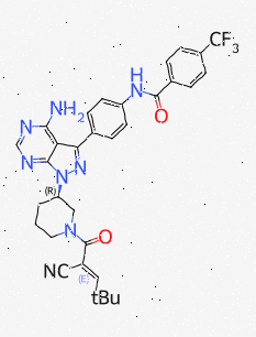 CC(C)(C)/C=C(\C#N)C(=O)N1CCC[C@@H](n2nc(-c3ccc(NC(=O)c4ccc(C(F)(F)F)cc4)cc3)c3c(N)ncnc32)C1